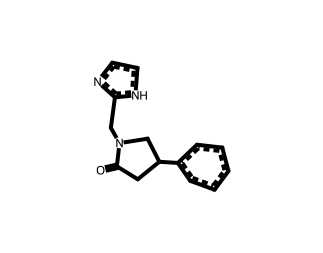 O=C1CC(c2ccccc2)CN1Cc1ncc[nH]1